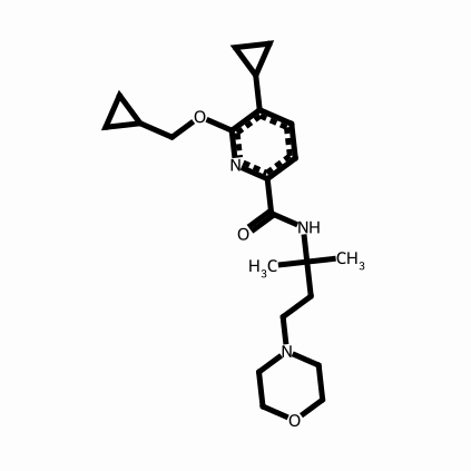 CC(C)(CCN1CCOCC1)NC(=O)c1ccc(C2CC2)c(OCC2CC2)n1